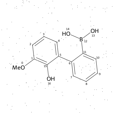 COc1cccc(-c2ccccc2B(O)O)c1O